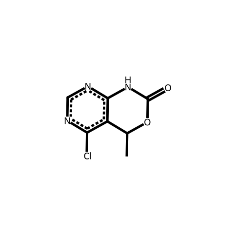 CC1OC(=O)Nc2ncnc(Cl)c21